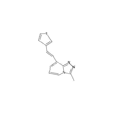 Cc1nnc2c(C=Cc3ccsc3)cccn12